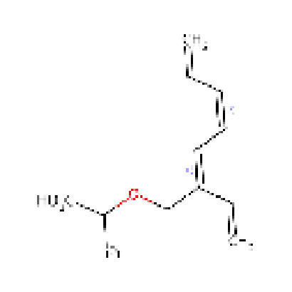 C=C/C=C\C=C(/C=C)COC(C(=O)O)C(C)C